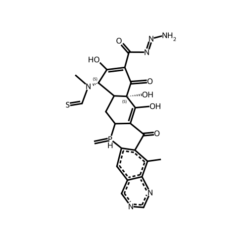 C=[PH]1c2cc3cncnc3c(C)c2C(=O)C2=C(O)[C@]3(O)C(=O)C(C(=O)N=NN)=C(O)[C@@H](N(C)C=S)C3CC21